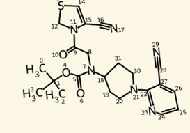 CC(C)(C)OC(=O)N(CC(=O)N1CSC=C1C#N)C1CCN(c2ncccc2C#N)CC1